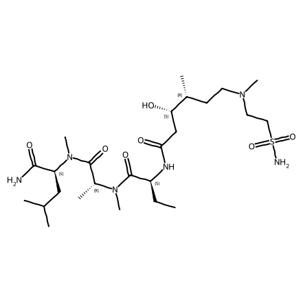 CC[C@H](NC(=O)C[C@H](O)[C@H](C)CCN(C)CCS(N)(=O)=O)C(=O)N(C)[C@H](C)C(=O)N(C)[C@@H](CC(C)C)C(N)=O